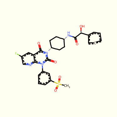 CS(=O)(=O)c1cccc(-n2c(=O)n([C@H]3CC[C@@H](NC(=O)[C@@H](O)c4ccccc4)CC3)c(=O)c3cc(F)cnc32)c1